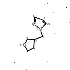 [c]1cnn(CC2CCOC2)c1